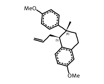 C=CC[C@@H]1c2ccc(OC)cc2CC[C@@]1(C)c1ccc(OC)cc1